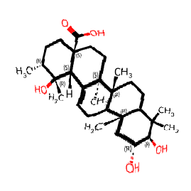 C[C@@H]1CC[C@]2(C(=O)O)CC[C@]3(C)C(=CCC4[C@@]5(C)C[C@@H](O)[C@H](O)C(C)(C)C5CC[C@]43C)[C@@H]2[C@]1(C)O